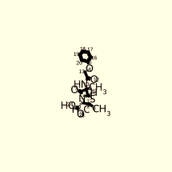 CC1(C)S[C@H]2N(C(=O)C2(C)NC(=O)COc2ccccc2)[C@H]1C(=O)O